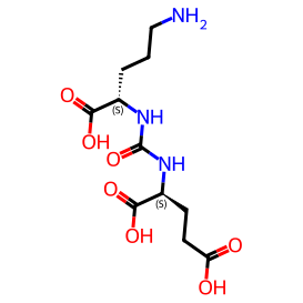 NCCC[C@H](NC(=O)N[C@@H](CCC(=O)O)C(=O)O)C(=O)O